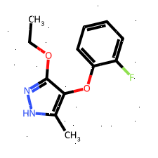 CCOc1n[nH]c(C)c1Oc1ccccc1F